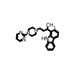 CC(CCN1CCN(c2ncccn2)CC1)c1cccc2c1[nH]c1ccccc12